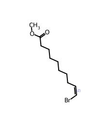 COC(=O)CCCCCCC/C=C\Br